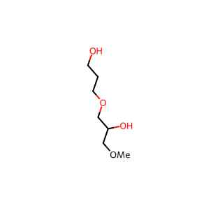 COCC(O)COCCCO